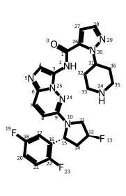 O=C(Nc1cnc2ccc(N3C[C@@H](F)C[C@@H]3c3cc(F)ccc3F)nn12)c1ccnn1C1CCNCC1